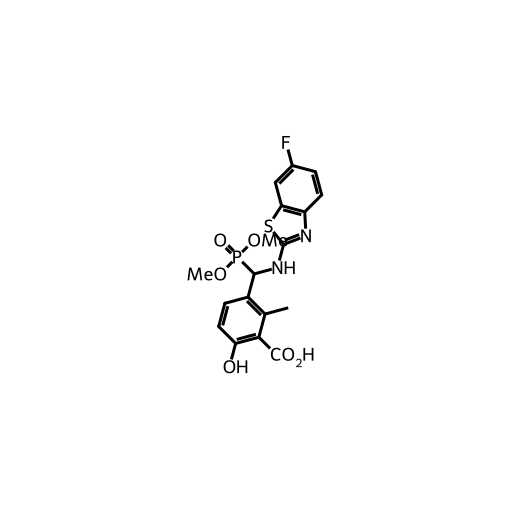 COP(=O)(OC)C(Nc1nc2ccc(F)cc2s1)c1ccc(O)c(C(=O)O)c1C